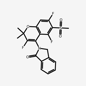 CC1(C)Oc2cc(F)c(S(C)(=O)=O)c(F)c2C(N2Cc3ccccc3C2=O)=C1F